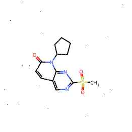 CS(=O)(=O)c1ncc2ccc(=O)n(C3CCCC3)c2n1